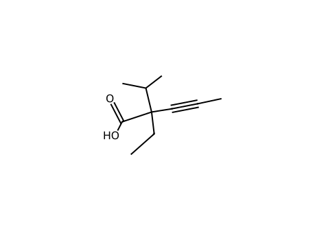 CC#CC(CC)(C(=O)O)C(C)C